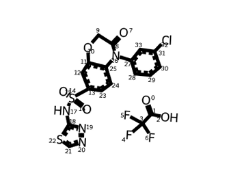 O=C(O)C(F)(F)F.O=C1COc2cc(S(=O)(=O)Nc3nncs3)ccc2N1c1cccc(Cl)c1